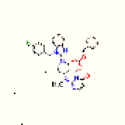 CN(c1nccc(=O)n1COC(=O)OCc1ccccc1)C1CCN(c2nc3ccccc3n2Cc2ccc(F)cc2)CC1